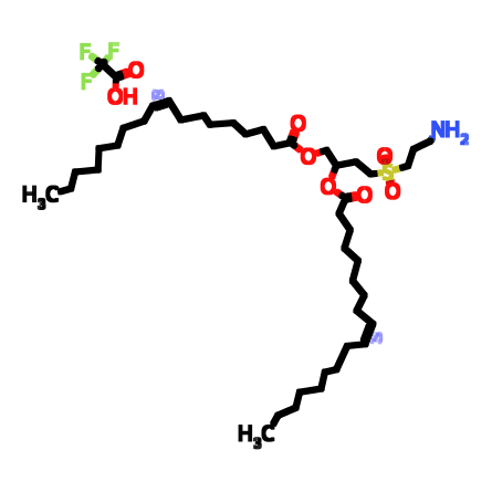 CCCCCCCC/C=C\CCCCCCCC(=O)OCC(CCS(=O)(=O)CCCN)OC(=O)CCCCCCC/C=C\CCCCCCCC.O=C(O)C(F)(F)F